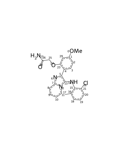 COc1ccc(-c2nc3ccccn3c2Nc2c(C)cccc2Cl)c(OCC(N)=O)c1